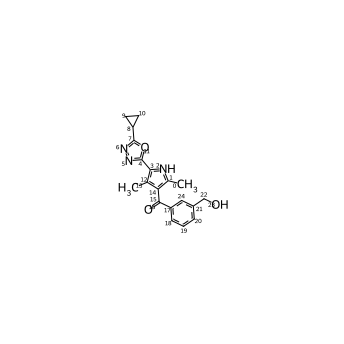 Cc1[nH]c(-c2nnc(C3CC3)o2)c(C)c1C(=O)c1cccc(CO)c1